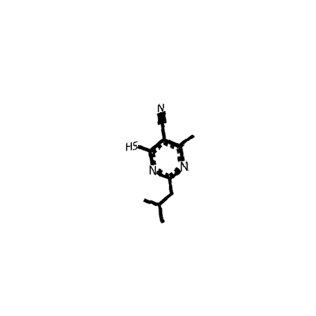 Cc1nc(CC(C)C)nc(S)c1C#N